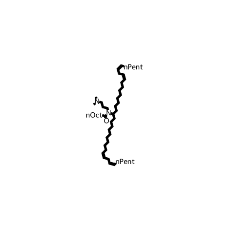 CCCCC/C=C\C/C=C\CCCCCCCCCC(CCCCCCCC/C=C\C/C=C\CCCCC)N(CCCN(C)C)C(=O)CCCCCCCC